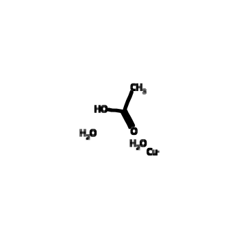 CC(=O)O.O.O.[Cu]